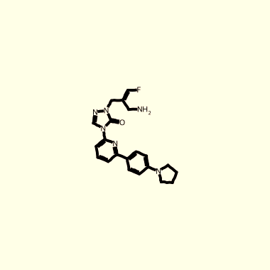 NC/C(=C\F)Cn1ncn(-c2cccc(-c3ccc(N4CCCC4)cc3)n2)c1=O